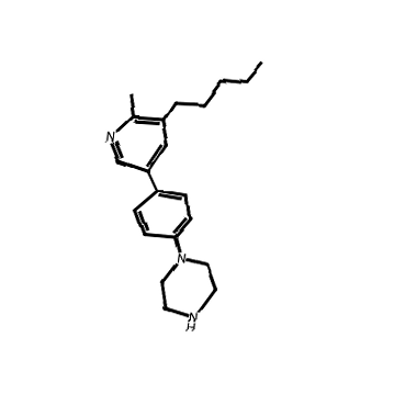 CCCCCc1cc(-c2ccc(N3CCNCC3)cc2)cnc1C